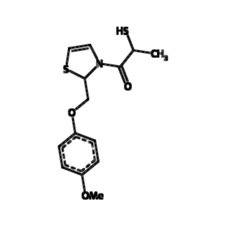 COc1ccc(OCC2SC=CN2C(=O)C(C)S)cc1